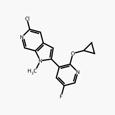 Cn1c(-c2cc(F)cnc2OC2CC2)cc2cc(Cl)ncc21